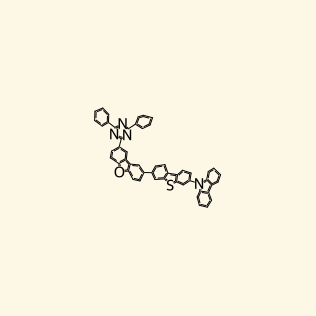 c1ccc(-c2nc(-c3ccccc3)nc(-c3ccc4oc5ccc(-c6ccc7c(c6)sc6cc(-n8c9ccccc9c9ccccc98)ccc67)cc5c4c3)n2)cc1